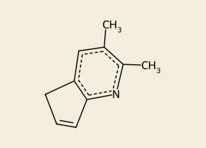 Cc1cc2c(nc1C)C=CC2